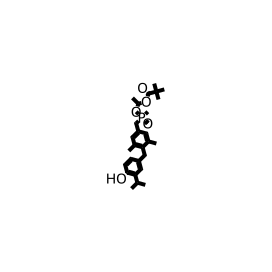 Cc1cc(CP(C)(=O)OC(C)OC(=O)C(C)(C)C)cc(C)c1Cc1ccc(O)c(C(C)C)c1